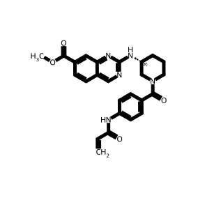 C=CC(=O)Nc1ccc(C(=O)N2CCC[C@@H](Nc3ncc4ccc(C(=O)OC)cc4n3)C2)cc1